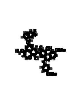 COc1ccc(CN(Cc2ccc(OC)cc2)c2cc(C)c(C(F)(F)F)c(-c3cc4nc(OC[C@]56CCCN5CC(F)(F)C6)nc5c4c(c3Cl)OCCN5C)n2)cc1